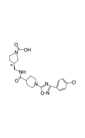 O=C(NC[C@H]1CCN(C(=O)O)C1)C1CCN(c2nc(-c3ccc(Cl)cc3)no2)CC1